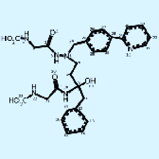 O=C(O)NCC(=O)NN(CCC(O)(Cc1ccccc1)NC(=O)CNC(=O)O)Cc1ccc(-c2ccccn2)cc1